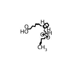 CC#CCCS(=O)(=O)NC[C@H]1[C@@H](C/C=C\CCCC(=O)O)[C@H]2CC[C@@H]1O2